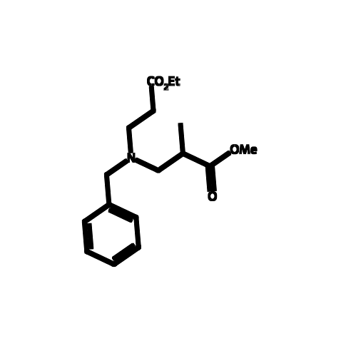 CCOC(=O)CCN(Cc1ccccc1)CC(C)C(=O)OC